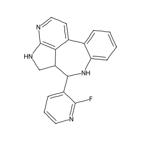 Fc1ncccc1C1Nc2ccccc2-c2ccnc3c2C1CN3